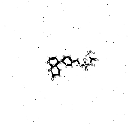 CC(C)(C)OC(=O)NS(=O)(=O)NCc1ccc(-c2ccnc3c2CCC(=O)N3)cc1